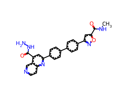 CNC(=O)c1cc(-c2ccc(-c3ccc(-c4cc(C(=O)NN)c5cnccc5n4)cc3)cc2)no1